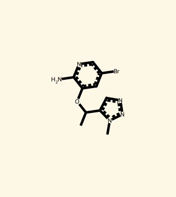 CC(Oc1cc(Br)cnc1N)c1cnnn1C